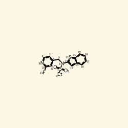 CCS(=O)(=O)N(Cc1ccnc(F)c1)c1cc2ccccc2s1